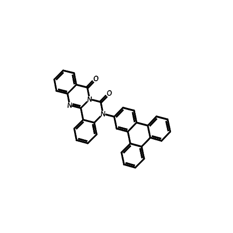 O=c1c2ccccc2nc2c3ccccc3n(-c3ccc4c5ccccc5c5ccccc5c4c3)c(=O)n12